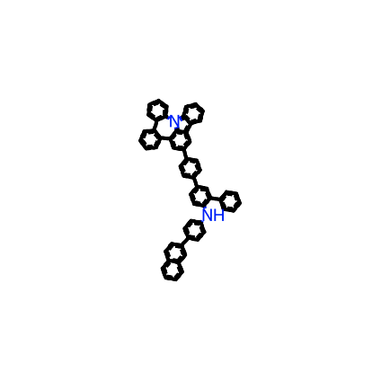 c1ccc(-c2cc(-c3ccc(-c4cc5c6c(c4)c4ccccc4n6-c4ccccc4-c4ccccc4-5)cc3)ccc2Nc2ccc(-c3ccc4ccccc4c3)cc2)cc1